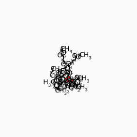 CCCC.CCOC(=O)CCCOc1cc2oc(-c3ccc(C(C)(C)C)cc3)c(C3=C(c4cc(-c5cc6c(s5)C(C)(C)CCC6(C)C)sc4-c4cc5c(s4)C(C)(C)CCC5(C)C)C(F)(F)C(F)(F)C3(F)F)c2cc1OCCCC(=O)OCC